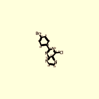 Clc1nc(-c2ccc(Br)cc2)nc2nccnc12